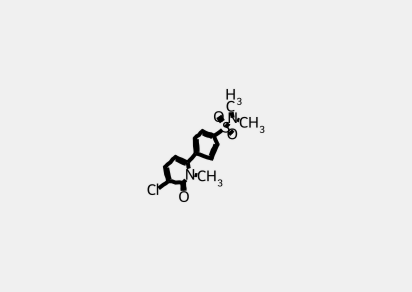 CN(C)S(=O)(=O)c1ccc(-c2ccc(Cl)c(=O)n2C)cc1